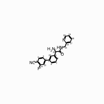 N#Cc1ccc(-c2cccc(C(N)C(=O)NCc3ccccn3)c2)cc1F